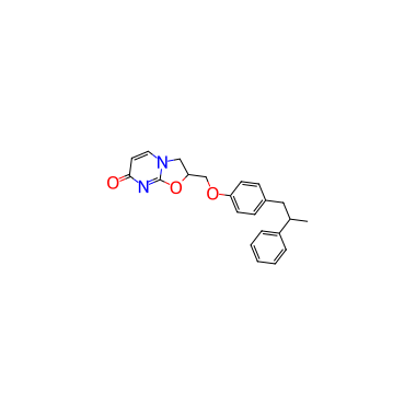 CC(Cc1ccc(OCC2Cn3ccc(=O)nc3O2)cc1)c1ccccc1